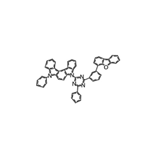 c1ccc(-c2nc(-c3cccc(-c4cccc5c4oc4ccccc45)c3)nc(-n3c4ccccc4c4c5c6ccccc6n(-c6ccccc6)c5ccc43)n2)cc1